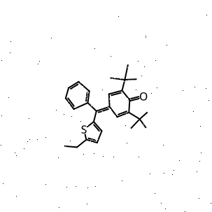 CCc1ccc(C(=C2C=C(C(C)(C)C)C(=O)C(C(C)(C)C)=C2)c2ccccc2)s1